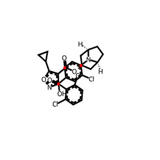 O=C(O)c1ccc(N2[C@@H]3CC[C@H]2C[C@H](OC(=O)c2c(-c4c(Cl)cccc4Cl)noc2C2CC2)C3)c(Cl)c1